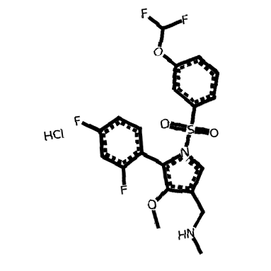 CNCc1cn(S(=O)(=O)c2cccc(OC(F)F)c2)c(-c2ccc(F)cc2F)c1OC.Cl